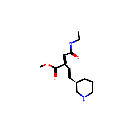 CCNC(=O)/C=C(\C=C\[C@H]1CCCNC1)C(=O)OC